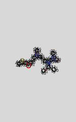 c1ccc(-c2cc(-c3ccccc3)cc(-n3c4ccc(-c5ccc6c(c5)c5cc(-c7ccc8oc9cc%10c(cc9c8c7)sc7ccccc7%10)ccc5n6-c5ccccc5)cc4c4cc5c(cc43)c3ccccc3n5-c3ccccc3)c2)cc1